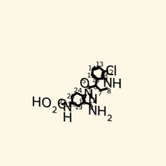 Nc1nn(C(=O)C2CCNc3c(Cl)cccc32)c2c1CC(NC(=O)O)CC2